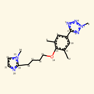 Cc1cc(-c2nnn(C)n2)cc(C)c1OCCCCc1nccn1C